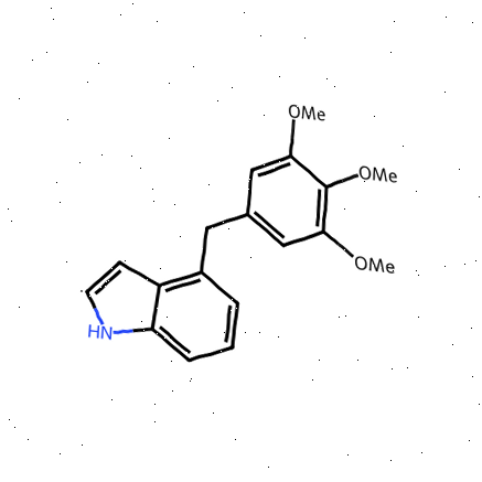 COc1cc(Cc2cccc3[nH][c]cc23)cc(OC)c1OC